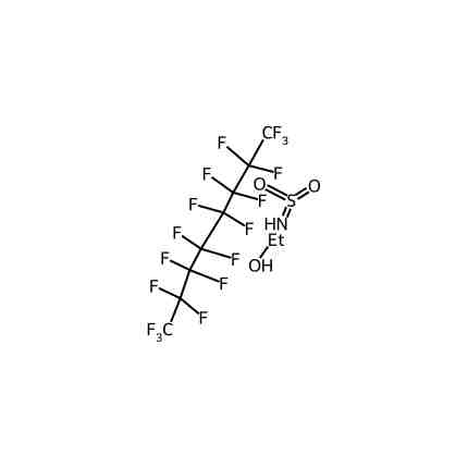 CCO.FC(F)(F)C(F)(F)C(F)(F)C(F)(F)C(F)(F)C(F)(F)C(F)(F)C(F)(F)F.N=S(=O)=O